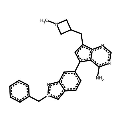 CN1CC(Cc2cc(-c3ccc4cn(Cc5ccccc5)nc4c3)c3c(N)ncnn23)C1